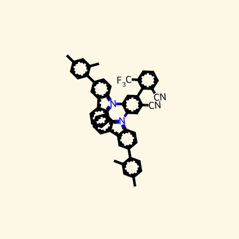 Cc1ccc(-c2ccc3c(c2)c2ccccc2n3-c2cc(C#N)c(-c3c(C#N)cccc3C(F)(F)F)cc2-n2c3ccccc3c3cc(-c4ccc(C)cc4C)ccc32)c(C)c1